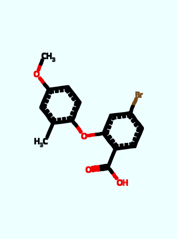 COc1ccc(Oc2cc(Br)ccc2C(=O)O)c(C)c1